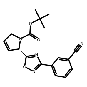 CC(C)(C)OC(=O)N1CC=C[C@H]1c1nc(-c2cccc(C#N)c2)no1